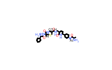 CC(=O)N(C(=O)C(C)N)c1ccc(-c2ccc(CNC(=O)C3=C(C(=O)O)N4C(=O)C(C)(NC(=O)C(N)c5ccccc5)[C@@H]4SC3)c(=O)[nH]2)cc1